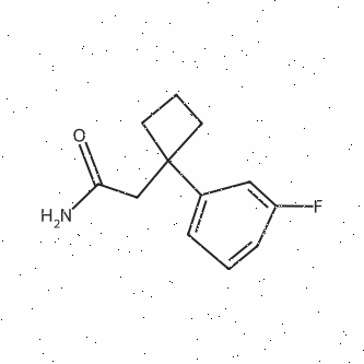 NC(=O)CC1(c2cccc(F)c2)CCC1